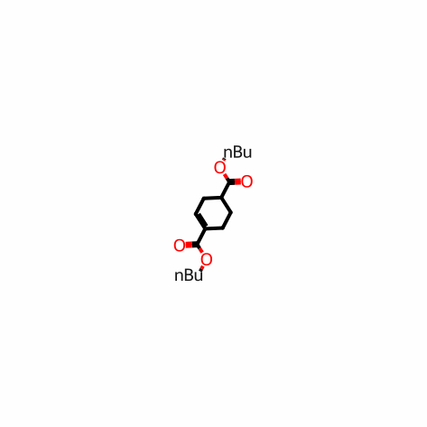 CCCCOC(=O)C1=CCC(C(=O)OCCCC)CC1